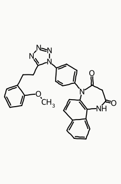 COc1ccccc1CCc1nnnn1-c1ccc(N2C(=O)CC(=O)Nc3c2ccc2ccccc32)cc1